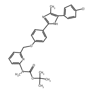 Cc1nc(-c2ccc(OCc3cccc(N(C)C(=O)OC(C)(C)C)n3)cc2)[nH]c1-c1ccc(Cl)cc1